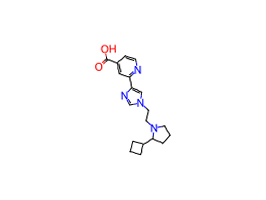 O=C(O)c1ccnc(-c2cn(CCN3CCCC3C3CCC3)cn2)c1